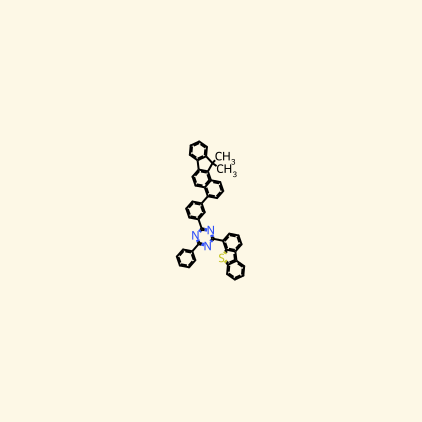 CC1(C)c2ccccc2-c2ccc3c(-c4cccc(-c5nc(-c6ccccc6)nc(-c6cccc7c6sc6ccccc67)n5)c4)cccc3c21